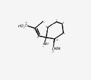 CCCCC1(C=C(C)C(=O)O)CCCCC1OC